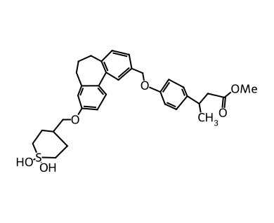 COC(=O)CC(C)c1ccc(OCc2ccc3c(c2)-c2ccc(OCC4CCS(O)(O)CC4)cc2CCC3)cc1